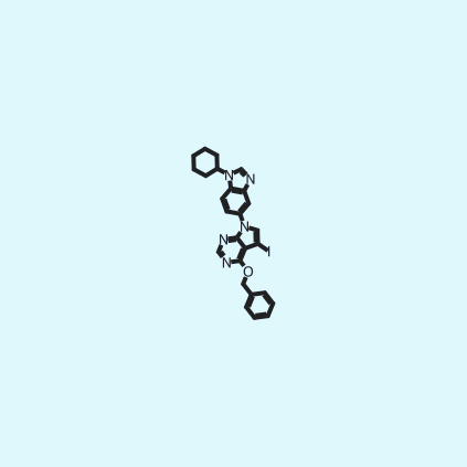 Ic1cn(-c2ccc3c(c2)ncn3C2CCCCC2)c2ncnc(OCc3ccccc3)c12